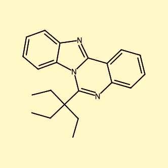 CCC(CC)(CC)c1nc2ccccc2c2nc3ccccc3n12